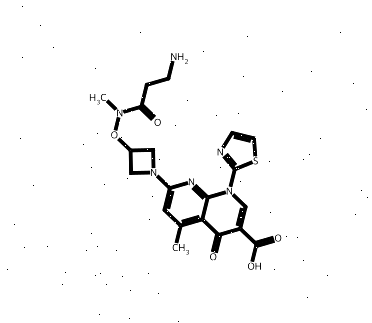 Cc1cc(N2CC(ON(C)C(=O)CCN)C2)nc2c1c(=O)c(C(=O)O)cn2-c1nccs1